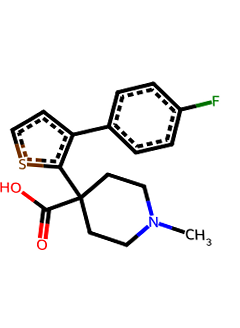 CN1CCC(C(=O)O)(c2sccc2-c2ccc(F)cc2)CC1